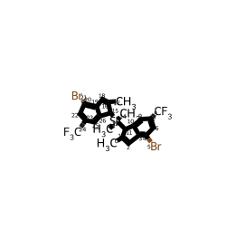 CC1=Cc2c(Br)cc(C(F)(F)F)cc2C1[Si](C)(C)C1C(C)=Cc2c(Br)cc(C(F)(F)F)cc21